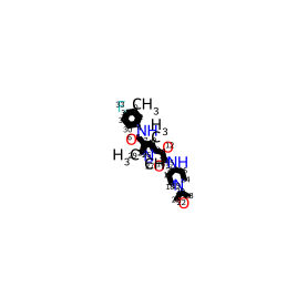 Cc1cc(NC(=O)c2c(C)c(C(=O)C(=O)NC3CCN(C4COC4)CC3)n(C)c2C)ccc1F